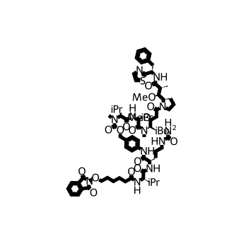 CC[C@H](C)[C@@H]([C@@H](CC(=O)N1CCC[C@H]1[C@H](OC)[C@@H](C)C(=O)N[C@@H](Cc1ccccc1)c1nccs1)OC)N(C)C(=O)[C@@H](NC(=O)[C@H](C(C)C)N(C)C(=O)OCc1ccc(NC(=O)[C@H](CCCNC(N)=O)NC(=O)[C@@H](NC(=O)CCCCCON2C(=O)c3ccccc3C2=O)C(C)C)cc1)C(C)C